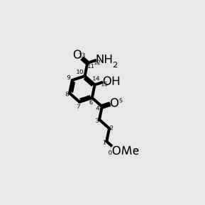 COCCCC(=O)c1cccc(C(N)=O)c1O